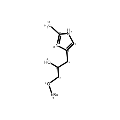 CCCCOCC(O)Cc1c[nH]c(C)n1